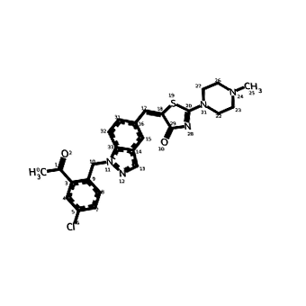 CC(=O)c1cc(Cl)ccc1Cn1ncc2cc(C=C3SC(N4CCN(C)CC4)=NC3=O)ccc21